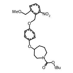 COCc1cccc([N+](=O)[O-])c1COc1ccc(OC2CCCN(C(=O)OC(C)(C)C)CC2)cc1